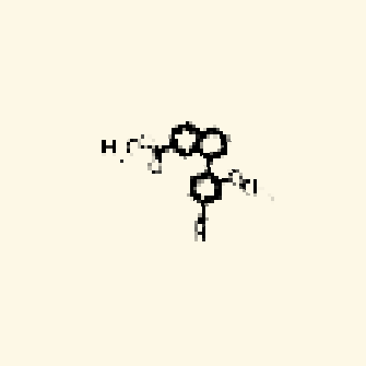 COC(=O)c1ccc2cccc(-c3ccc(C#N)cc3OC)c2c1